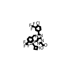 C[C@@H](Nc1nc(C(=O)O)nc2nc(-c3ccc(Cl)c(C(F)(F)F)c3)n(Cc3ccc(C(F)(F)F)cc3)c12)C1CCC1